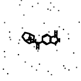 CN1C2CCC1CC(Nc1ccc3[nH]ncc3c1)C2